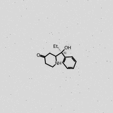 CC[C@](O)(c1ccccc1)C1CC(=O)CCN1